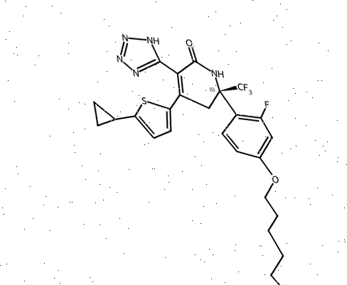 O=C1N[C@@](c2ccc(OCCCCCC(F)(F)F)cc2F)(C(F)(F)F)CC(c2ccc(C3CC3)s2)=C1c1nnn[nH]1